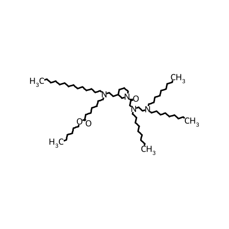 CCCCCCCCCCCCCCN(CCCCCCC(=O)OCCCCCC)CCC1CCCN(C(=O)CN(CCCCCCCCC)CCN(CCCCCCCCC)CCCCCCCCC)C1